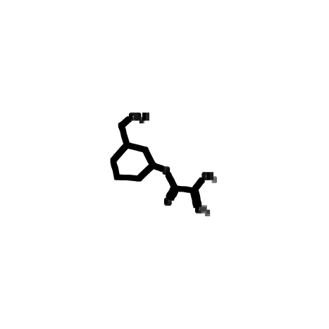 C=C(C)C(=O)OC1CCCC(CC(=O)O)C1